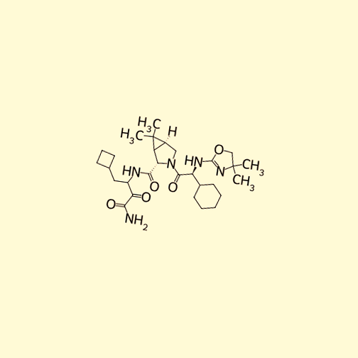 CC1(C)COC(N[C@H](C(=O)N2C[C@H]3C([C@H]2C(=O)NC(CC2CCC2)C(=O)C(N)=O)C3(C)C)C2CCCCC2)=N1